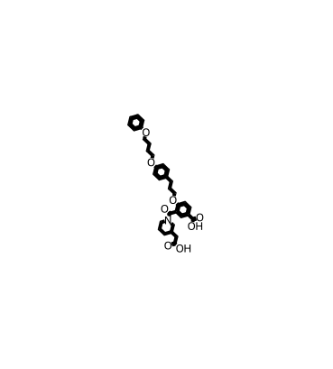 O=C(O)CC1CCCN(C(=O)c2cc(C(=O)O)ccc2OCCCc2ccc(OCCCCOc3ccccc3)cc2)C1